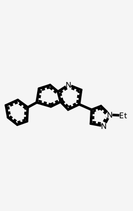 CCn1cc(-c2cnc3ccc(-c4ccccc4)cc3c2)cn1